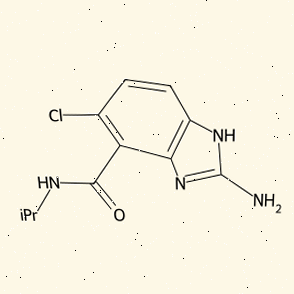 CC(C)NC(=O)c1c(Cl)ccc2[nH]c(N)nc12